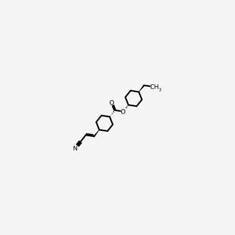 CC[C@H]1CC[C@H](OC(=O)[C@H]2CC[C@H](C=CC#N)CC2)CC1